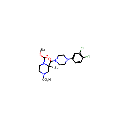 CC(C)(C)OC(=O)N1CCN(C(=O)O)CC1(C(=O)N1CCN(c2ccc(Cl)c(Cl)c2)CC1)C(C)(C)C